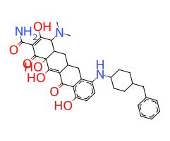 CN(C)C1C(O)=C(C(N)=O)C(=O)C2(O)C(O)=C3C(=O)c4c(O)ccc(NC5CCC(Cc6ccccc6)CC5)c4CC3CC12